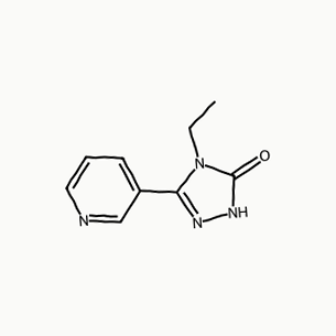 CCn1c(-c2cccnc2)n[nH]c1=O